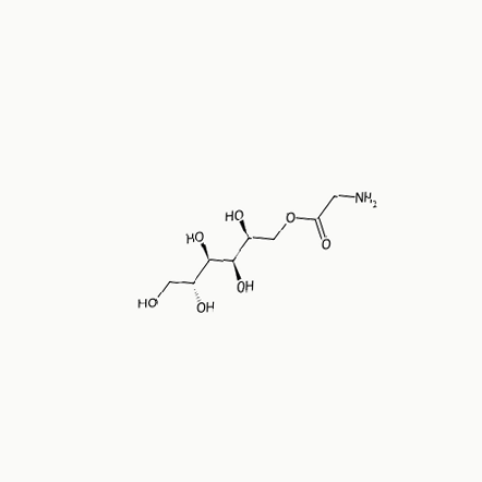 NCC(=O)OC[C@H](O)[C@@H](O)[C@H](O)[C@H](O)CO